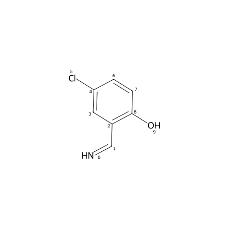 N=Cc1cc(Cl)ccc1O